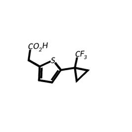 O=C(O)Cc1ccc(C2(C(F)(F)F)CC2)s1